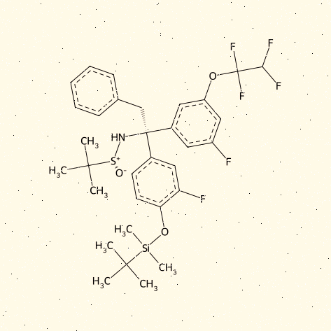 CC(C)(C)[S@@+]([O-])N[C@@](Cc1ccccc1)(c1cc(F)cc(OC(F)(F)C(F)F)c1)c1ccc(O[Si](C)(C)C(C)(C)C)c(F)c1